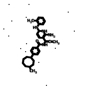 C=C=C(NC(=O)c1ccc(C2CCCCC(C)CC2)cc1)C1=C(N)NC(Nc2ccccc2C)C=C1